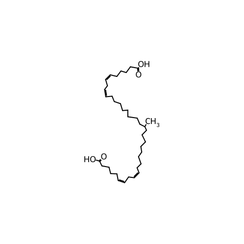 CC(CCCCCCCC/C=C\C/C=C\CCCCC(=O)O)CCCCCCCC/C=C\C/C=C\CCCCC(=O)O